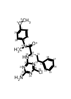 COc1ccc(N(C)C(=O)[C@H](CCc2ccccc2)Nc2nc(N)nc(Cl)n2)cc1